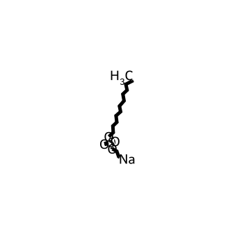 CCCCCCCCCCCCOS(=O)(=O)OC[CH2][Na]